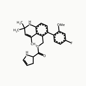 COc1cc(F)ccc1-c1ccc2c(c1COC(=O)C1CC=CN1)C(C)=CC(C)(C)N2